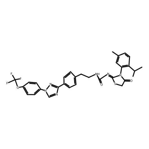 Cc1ccc(C(C)C)c(N2C(=O)CSC2=NC(=O)NCCc2ccc(-c3ncn(-c4ccc(OC(F)(F)F)cc4)n3)cc2)c1